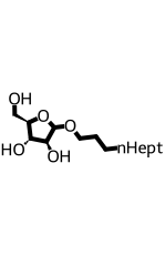 CCCCCCCCCCOC1O[C@H](CO)[C@@H](O)[C@@H]1O